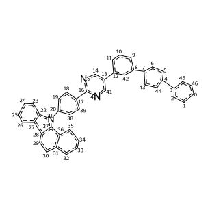 c1ccc(-c2ccc(-c3cccc(-c4cnc(-c5ccc(-n6c7ccccc7c7ccc8ccccc8c76)cc5)nc4)c3)cc2)cc1